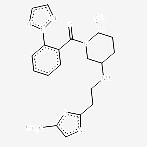 CCOC(=O)c1cnc(CCNC2CC[C@@H](C)N(C(=O)c3ccccc3-n3nccn3)C2)s1